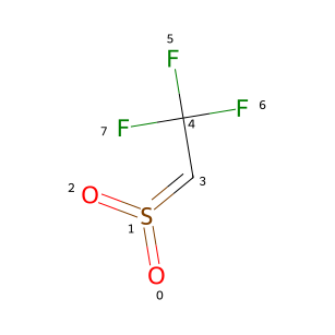 O=S(=O)=CC(F)(F)F